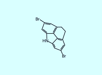 Brc1cc2c3c(c1)[nH]c1cc(Br)cc(c13)CC2